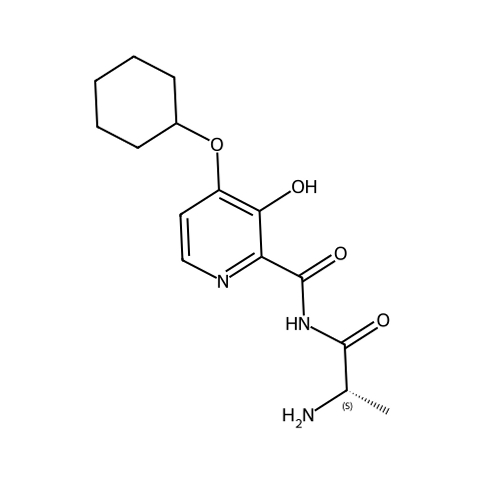 C[C@H](N)C(=O)NC(=O)c1nccc(OC2CCCCC2)c1O